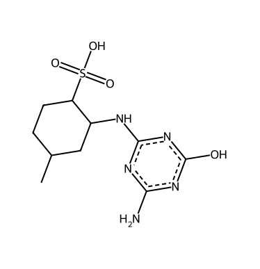 CC1CCC(S(=O)(=O)O)C(Nc2nc(N)nc(O)n2)C1